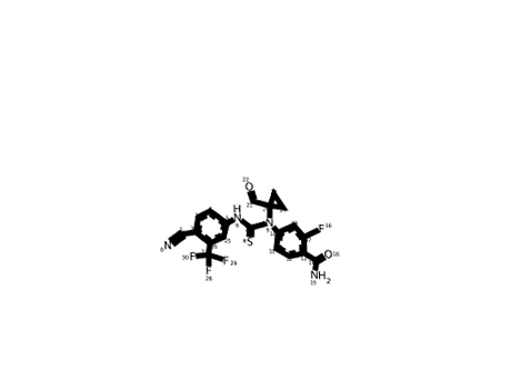 N#Cc1ccc(NC(=S)N(c2ccc(C(N)=O)c(F)c2)C2(C=O)CC2)cc1C(F)(F)F